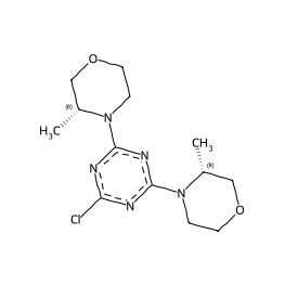 C[C@@H]1COCCN1c1nc(Cl)nc(N2CCOC[C@H]2C)n1